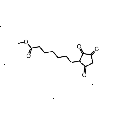 COC(=O)CCCCCCC1C(=O)CC(=O)C1=O